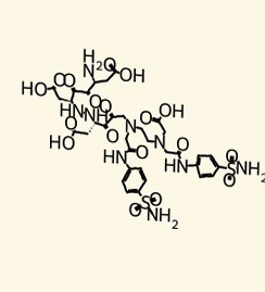 N[C@@H](CC(=O)O)C(=O)C(=O)[C@H](CC(=O)O)NN[C@@H](CC(=O)O)C(=O)C(=O)CN(CCN(CC(=O)O)CC(=O)Nc1ccc(S(N)(=O)=O)cc1)CC(=O)Nc1ccc(S(N)(=O)=O)cc1